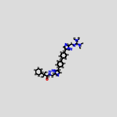 CN(C)C(=NCc1ncc(-c2ccc(-c3ccc(-c4cnc(CNC(=O)C(C)(C)C5=CCCCC5)[nH]4)cc3)cc2)[nH]1)N(C)C